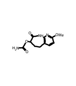 COc1ccc2c(n1)NC(=O)C(OC(N)=O)CC2